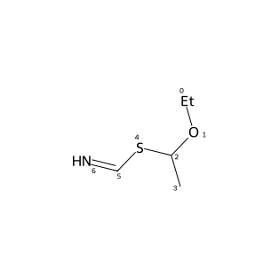 CCOC(C)SC=N